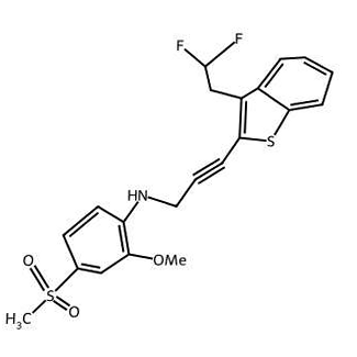 COc1cc(S(C)(=O)=O)ccc1NCC#Cc1sc2ccccc2c1CC(F)F